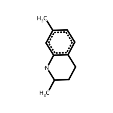 Cc1ccc2c(c1)[N]C(C)CC2